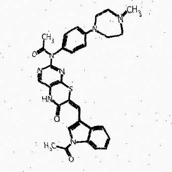 CC(=O)N(c1ccc(N2CCN(C)CC2)cc1)c1ncc2c(n1)S/C(=C/c1cn(C(C)=O)c3ccccc13)C(=O)N2